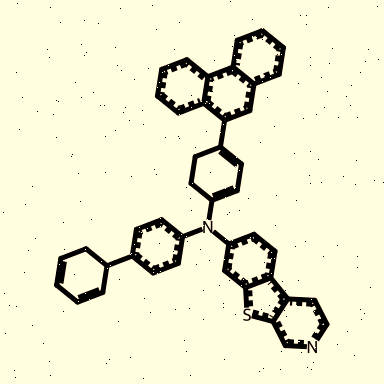 C1=CCC(c2ccc(N(C3=CC=C(c4cc5ccccc5c5ccccc45)CC3)c3ccc4c(c3)sc3cnccc34)cc2)C=C1